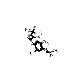 CCN(C)C=Nc1cc(C)c(Oc2snc(C(C)(C)F)c2C#N)cc1C